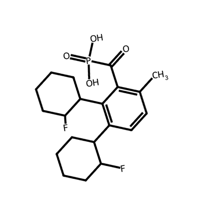 Cc1ccc(C2CCCCC2F)c(C2CCCCC2F)c1C(=O)P(=O)(O)O